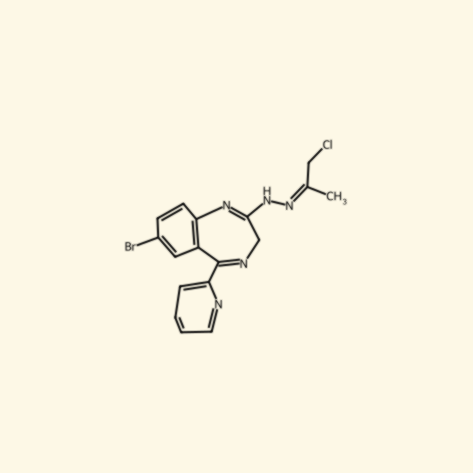 CC(CCl)=NNC1=Nc2ccc(Br)cc2C(c2ccccn2)=NC1